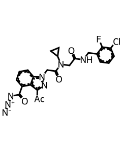 CC(=O)c1nn(CC(=O)N(CC(=O)NCc2cccc(Cl)c2F)C2CC2)c2cccc(C(=O)N=[N+]=[N-])c12